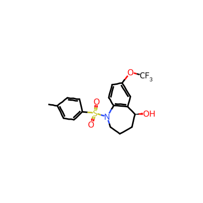 Cc1ccc(S(=O)(=O)N2CCC[C@H](O)c3cc(OC(F)(F)F)ccc32)cc1